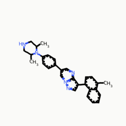 Cc1ccc(-c2cnn3cc(-c4ccc(N5C(C)CNCC5C)cc4)cnc23)c2ccccc12